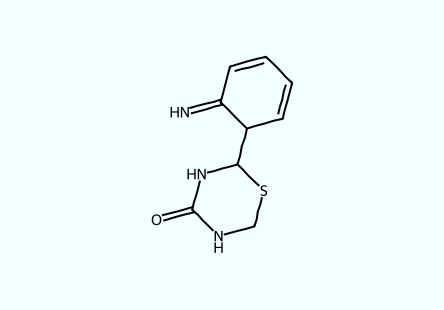 N=C1C=CC=CC1C1NC(=O)NCS1